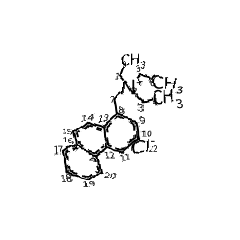 CC[N+](CC)(CC)Cc1cccc2c1ccc1ccccc12.[Cl-]